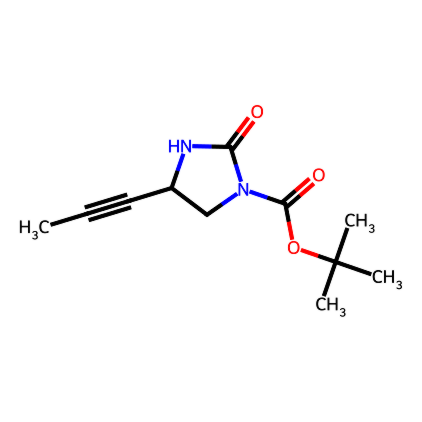 CC#CC1CN(C(=O)OC(C)(C)C)C(=O)N1